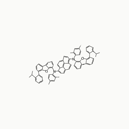 Cc1ccc(N(c2ccc3ccc4c(N(c5ccc(C)cc5C)c5cccc6c5oc5c(-c7ccccc7C(C)C)cccc56)ccc5ccc2c3c54)c2cccc3c2oc2c(-c4ccccc4C(C)C)cccc23)c(C)c1